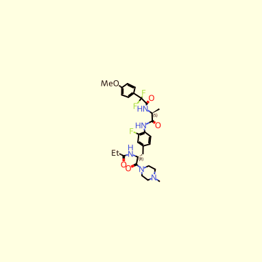 CCC(=O)N[C@H](Cc1ccc(NC(=O)[C@H](C)NC(=O)C(F)(F)c2ccc(OC)cc2)c(F)c1)C(=O)N1CCN(C)CC1